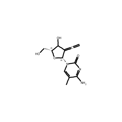 C=C=C1C(O)[C@@H](CO)O[C@H]1n1cc(C)c(N)nc1=O